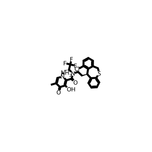 Cc1cn(N)c(C(=O)N(CC[C@@H]2c3ccccc3SCc3cccc(Cl)c32)[C@H](C)C(F)(F)F)c(O)c1=O